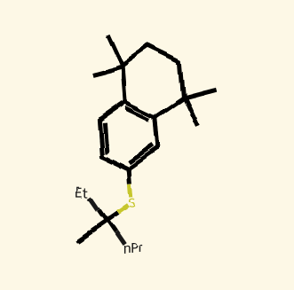 CCCC(C)(CC)Sc1ccc2c(c1)C(C)(C)CCC2(C)C